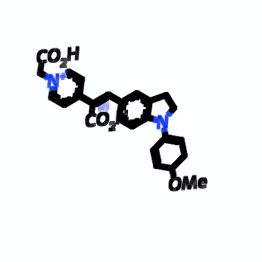 COC1C=CC(N2CCc3cc(/C=C(\C(=O)O)c4cc[n+](CC(=O)O)cc4)ccc32)=CC1